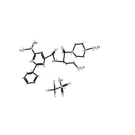 CCCCN(C)c1cc(C(=O)NC(CCC(=O)O)C(=O)N2CCN(C(=O)OCC)CC2)nc(-c2ccccc2)n1.O=S(=O)(O)C(F)(F)F